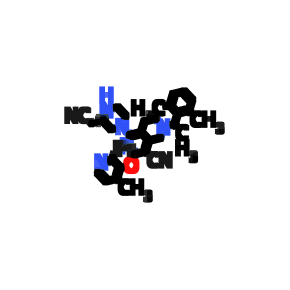 Cc1ccnc(C(C)C)c1Oc1nc(N2CCN[C@H](CC#N)C2)c2c(c1C#N)CN(C(C)c1c(C)cccc1C)CC2